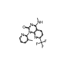 CNc1nc(=O)n(-c2ncccc2C)c2nc(C(F)(F)F)ccc12